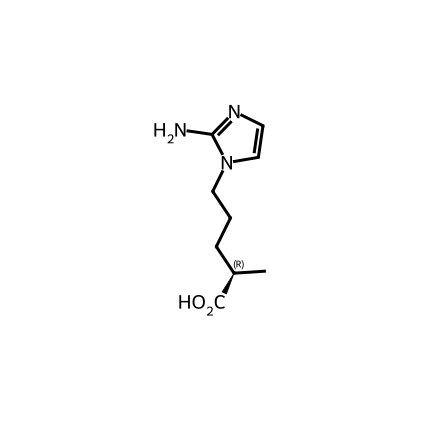 C[C@H](CCCn1ccnc1N)C(=O)O